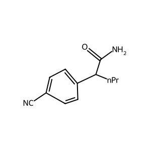 CCCC(C(N)=O)c1ccc(C#N)cc1